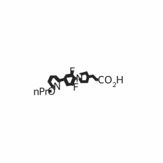 CCCOc1cccc(-c2cc(F)c(N3CCC(CCC(=O)O)CC3)c(F)c2)n1